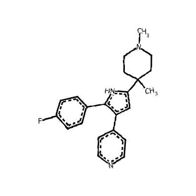 CN1CCC(C)(c2cc(-c3ccncc3)c(-c3ccc(F)cc3)[nH]2)CC1